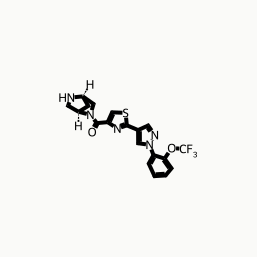 O=C(c1csc(-c2cnn(-c3ccccc3OC(F)(F)F)c2)n1)N1C[C@H]2C[C@@H]1CN2